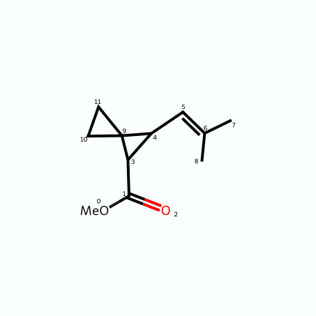 COC(=O)C1C(C=C(C)C)C12CC2